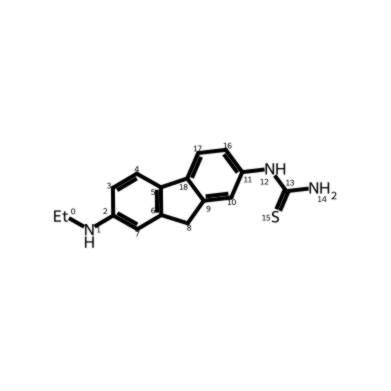 CCNc1ccc2c(c1)Cc1cc(NC(N)=S)ccc1-2